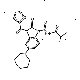 CC(C)C(=O)NC(=O)N1C(=O)C(C(=O)c2ccco2)c2cc(C3CCCCCC3)ccc21